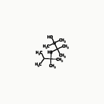 CC(C)C(C)(C)BC(C)(C)[Si](C)(C)O